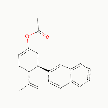 C=C(C)[C@@H]1CC=C(OC(C)=O)C[C@H]1c1ccc2ccccc2c1